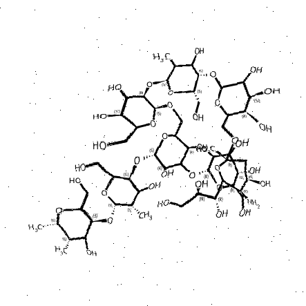 CC1C(O)[C@H](OC2OC(CO[C@]3(C(=O)O)C[C@@H](O)[C@@H](N)C([C@H](O)[C@H](O)CO)O3)[C@H](O)[C@H](O)C2O)[C@H](CO)O[C@H]1O[C@@H]1C(O)[C@H](O)C(CO)O[C@@H]1OCC1O[C@@H](O[C@@H]2C(CO)O[C@@H](O[C@@H]3C(CO)O[C@@H](C)[C@@H](C)C3O)[C@@H](C)C2O)[C@H](O)C(O[C@H]2O[C@H](CO)[C@@H](O)C(O)C2O)[C@@H]1O